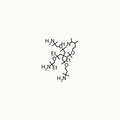 CCC(C)(N)COC(C)(CC)CC(CC(C)(C)OCCC(C)C(C)N)(CC(C)(C)OCC(C)(C)N)CC(C)(CC)OCCC(C)(C)N